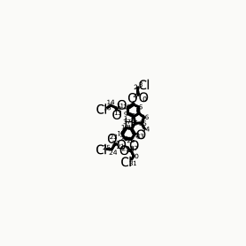 O=C(CCl)Oc1cc2c(cc1OC(=O)CCl)[C@@H]1c3ccc(OC(=O)CCl)c(OC(=O)CCl)c3OCC1C2